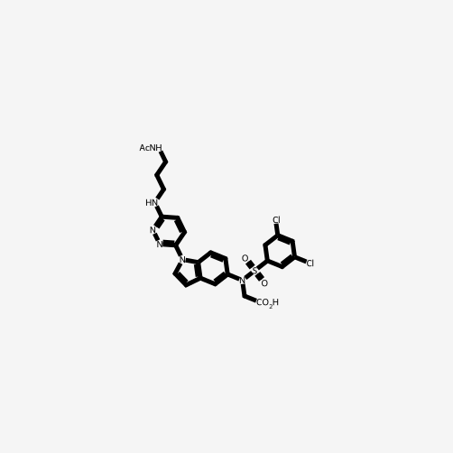 CC(=O)NCCCNc1ccc(-n2ccc3cc(N(CC(=O)O)S(=O)(=O)C4C=C(Cl)C=C(Cl)C4)ccc32)nn1